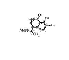 CN[C@H](C)c1c[nH]c(=O)c2c(F)c(F)ccc12